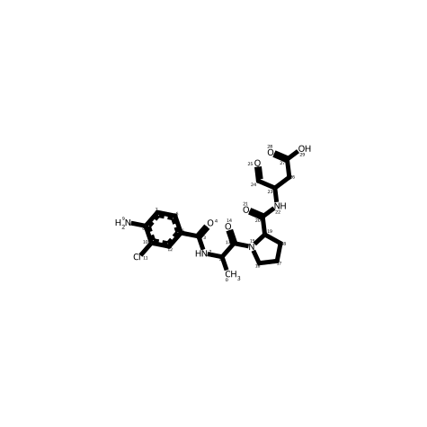 CC(NC(=O)c1ccc(N)c(Cl)c1)C(=O)N1CCCC1C(=O)NC(C=O)CC(=O)O